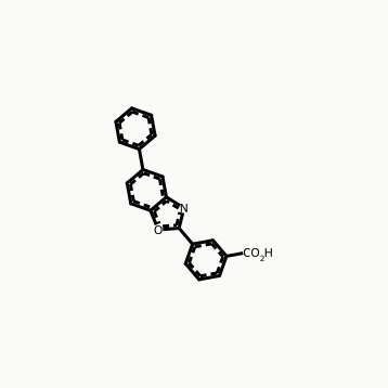 O=C(O)c1cccc(-c2nc3cc(-c4ccccc4)ccc3o2)c1